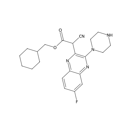 N#CC(C(=O)OCC1CCCCC1)c1nc2ccc(F)cc2nc1N1CCNCC1